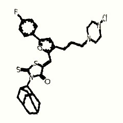 O=C1/C(=C/c2oc(-c3ccc(F)cc3)cc2CCCN2CCN(Cl)CC2)SC(=S)N1C1C2CC3CC(C2)CC1C3